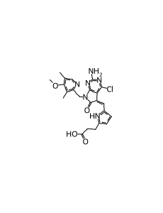 COc1c(C)cnc(CN2C(=O)C(=Cc3ccc(CCC(=O)O)[nH]3)c3c(Cl)nc(N)nc32)c1C